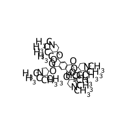 CC1C(OC(=O)c2cc(C(=O)OC3CCN(C)C(C)(C)C3C)c(C(=O)OC3CCN(C)C(C)(C)C3C)cc2C(=O)OC2CCN(C)C(C)(C)C2C)CCN(C)C1(C)C